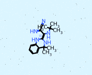 CC(C)(C)N/C(C(=N)C#N)=C1/Nc2ccccc2C(C)(C)N1